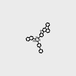 c1ccc(-c2ccc(C3N=C(c4ccc5c(c4)sc4cc6c7c(cccc7c45)-c4ccccc4-6)N=C(c4ccc5ccccc5c4)N3)cc2)cc1